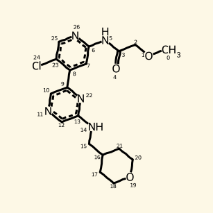 COCC(=O)Nc1cc(-c2cncc(NCC3CCOCC3)n2)c(Cl)cn1